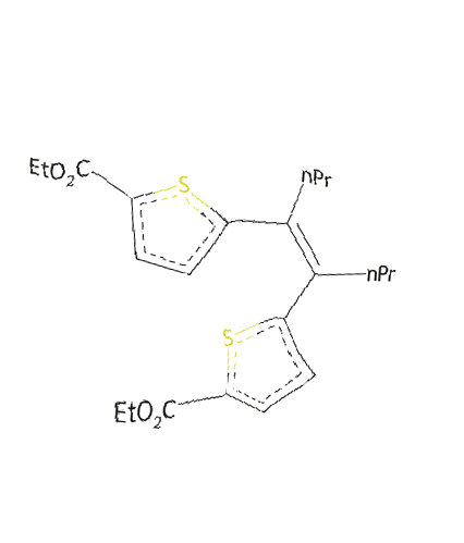 CCC/C(=C(\CCC)c1ccc(C(=O)OCC)s1)c1ccc(C(=O)OCC)s1